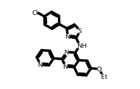 CCOc1ccc2nc(-c3cccnc3)nc(Nc3nc(-c4ccc(Cl)cc4)cs3)c2c1